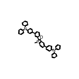 Cp1c2ccc(-c3ccc(N(c4ccccc4)c4ccccc4)cc3)cc2c2oc3ccc(-c4ccc(N(c5ccccc5)c5ccccc5)cc4)cc3c21